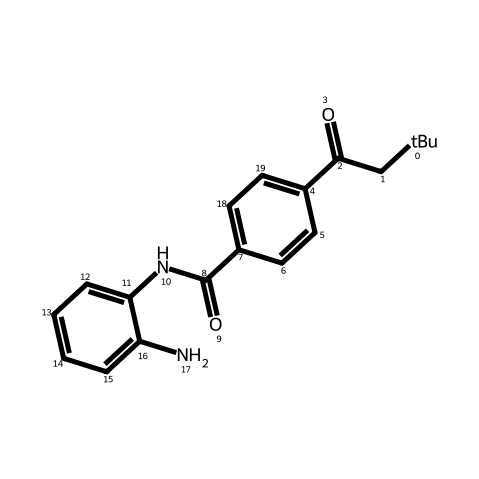 CC(C)(C)CC(=O)c1ccc(C(=O)Nc2ccccc2N)cc1